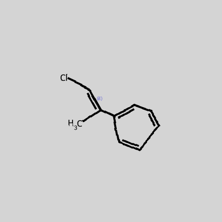 C/C(=C\Cl)c1ccccc1